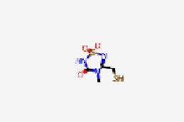 CN1C(=O)NS(=O)(=O)N=C1CS